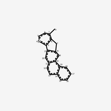 Cc1ccnc2c1Cc1cc3c(ccc4ccccc43)cc1-2